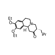 CCOc1cc2c(cc1OCC)[C@@H]1CC(=O)[C@@H](CC(C)C)CN1CC2